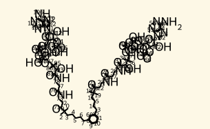 CC(C)(CCCCCc1cccc(CCCCC(C)(C)C(=O)CCNC(=O)CCNC(=O)C(O)C(C)(C)COP(=O)(O)OP(=O)(O)OCC2OC(n3cnc4c(N)ncnc43)C(O)C2OP(=O)(O)O)c1)C(=O)CCNC(=O)CCNC(=O)C(O)C(C)(C)COP(=O)(O)OP(=O)(O)OCC1OC(n2cnc3c(N)ncnc32)C(O)C1OP(=O)(O)O